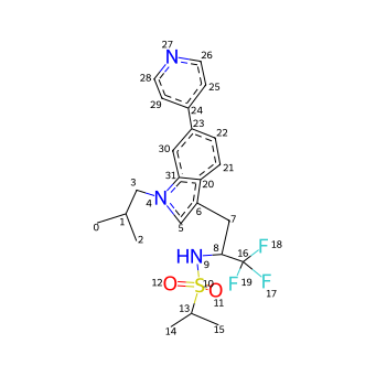 CC(C)Cn1cc(CC(NS(=O)(=O)C(C)C)C(F)(F)F)c2ccc(-c3ccncc3)cc21